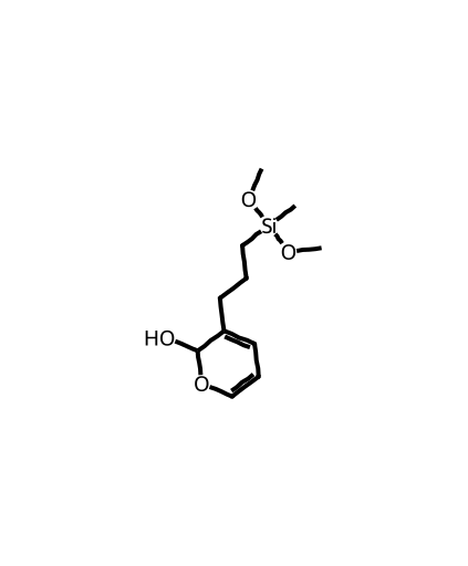 CO[Si](C)(CCCC1=CC=COC1O)OC